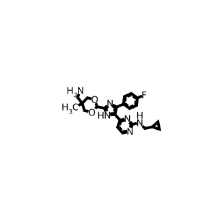 CC1(CN)COC(c2nc(-c3ccc(F)cc3)c(-c3ccnc(NCC4CC4)n3)[nH]2)OC1